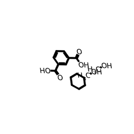 C1CCCCC1.CO.CO.O=C(O)c1cccc(C(=O)O)c1